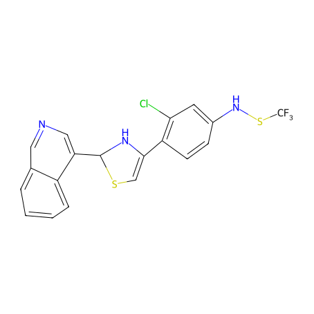 FC(F)(F)SNc1ccc(C2=CSC(c3cncc4ccccc34)N2)c(Cl)c1